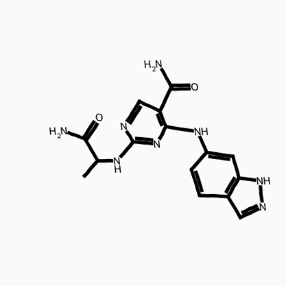 CC(Nc1ncc(C(N)=O)c(Nc2ccc3cn[nH]c3c2)n1)C(N)=O